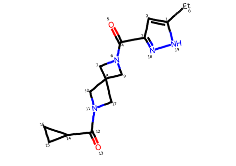 CCc1cc(C(=O)N2CC3(C2)CN(C(=O)C2CC2)C3)n[nH]1